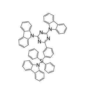 c1ccc([Si](c2ccccc2)(c2cccc(-c3nc(-n4c5ccccc5c5ccccc54)nc(-n4c5ccccc5c5ccccc54)n3)c2)n2c3ccccc3c3ccccc32)cc1